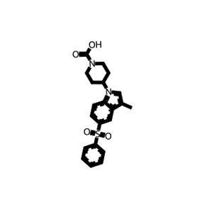 Cc1cn(C2CCN(C(=O)O)CC2)c2ccc(S(=O)(=O)c3ccccc3)cc12